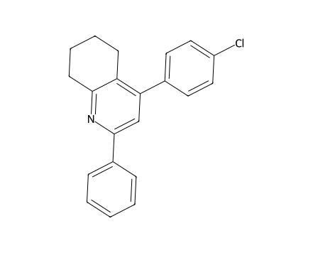 Clc1ccc(-c2cc(-c3ccccc3)nc3c2CCCC3)cc1